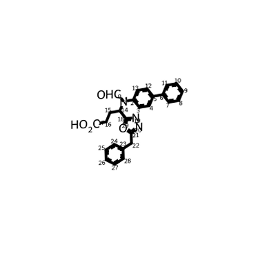 O=CN(c1ccc(-c2ccccc2)cc1)C(CCC(=O)O)c1nnc(Cc2ccccc2)o1